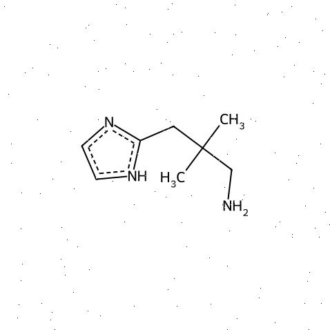 CC(C)(CN)Cc1ncc[nH]1